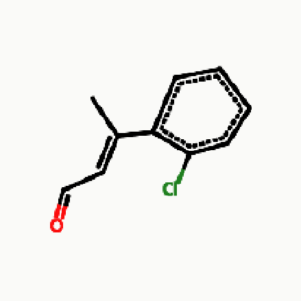 CC(=CC=O)c1ccccc1Cl